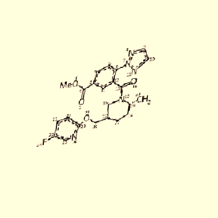 COC(=O)c1ccc(-n2nccn2)c(C(=O)N2C[C@H](COc3ccc(F)cn3)CC[C@H]2C)c1